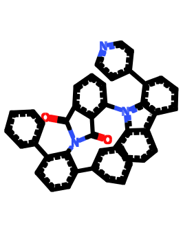 O=C1c2cccc(-n3c4ccccc4c4cccc(-c5ccncc5)c43)c2C(=O)N1c1c(-c2ccccc2)cccc1-c1ccccc1